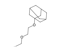 [CH2]COCCOC12CC3CC(CC(C3)C1)C2